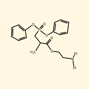 CCN(CC)CCOC(=O)C(C)CP(=O)(Oc1ccccc1)Oc1ccccc1